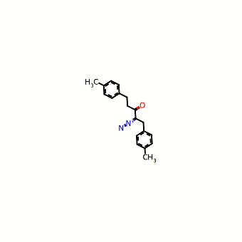 Cc1ccc(CCC(=O)C(Cc2ccc(C)cc2)=[N+]=[N-])cc1